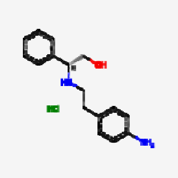 Cl.Nc1ccc(CCN[C@@H](CO)c2ccccc2)cc1